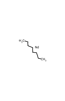 [CH2]CCCCCCC.[Nd]